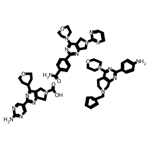 NC(=O)c1ccc(-c2nc3c(c(N4CCOCC4)n2)CN(c2ncccn2)C3)cc1.Nc1ccc(-c2nc3c(c(N4CCOCC4)n2)CCN(Cc2ccccc2)C3)cc1.Nc1ncc(-c2nc3c(c(C4CCOCC4)n2)CN(C(=O)O)C3)cn1